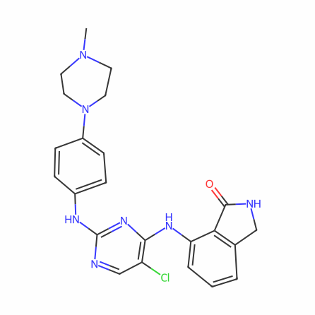 CN1CCN(c2ccc(Nc3ncc(Cl)c(Nc4cccc5c4C(=O)NC5)n3)cc2)CC1